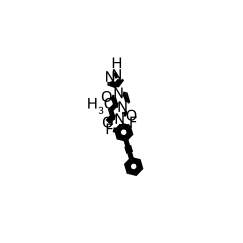 CC12CC(=O)N(c3c(F)cc(C#Cc4ccccc4)cc3F)C(=O)N1CCN(c1cn[nH]c1)C2=O